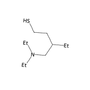 CCC(CCS)CN(CC)CC